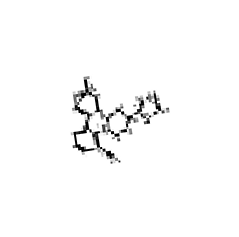 N#Cc1cccc(-c2ccc(F)nc2)c1N1CCC(c2cncs2)CC1